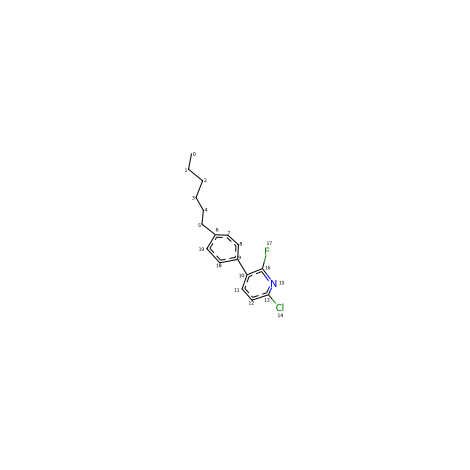 CCCCCCc1ccc(-c2ccc(Cl)nc2F)cc1